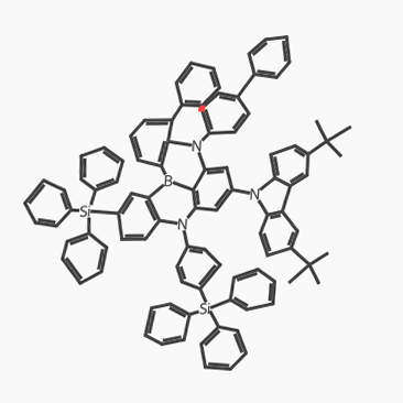 CC(C)(C)c1ccc2c(c1)c1cc(C(C)(C)C)ccc1n2-c1cc2c3c(c1)N(c1ccc(-c4ccccc4)cc1)c1c(cccc1-c1ccccc1)B3c1cc([Si](c3ccccc3)(c3ccccc3)c3ccccc3)ccc1N2c1ccc([Si](c2ccccc2)(c2ccccc2)c2ccccc2)cc1